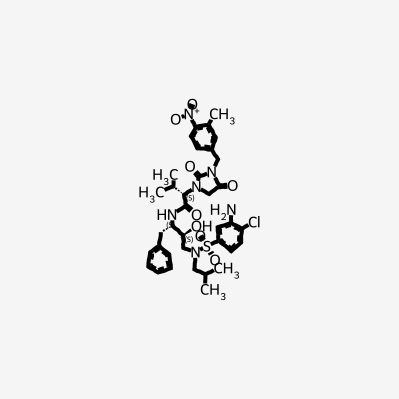 Cc1cc(CN2C(=O)CN([C@H](C(=O)N[C@@H](Cc3ccccc3)[C@@H](O)CN(CC(C)C)S(=O)(=O)c3ccc(Cl)c(N)c3)C(C)C)C2=O)ccc1[N+](=O)[O-]